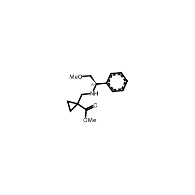 COC[C@H](NCC1(C(=O)OC)CC1)c1ccccc1